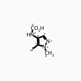 Cn1ncc(NC(=O)O)c1I